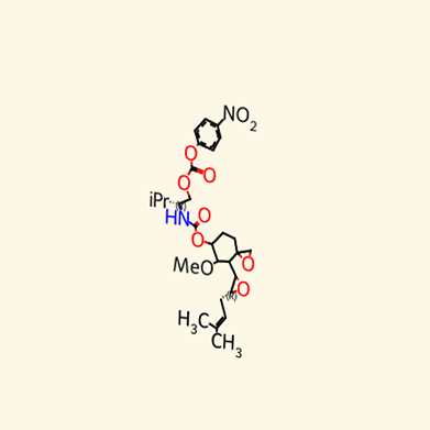 COC1C(OC(=O)N[C@@H](COC(=O)Oc2ccc([N+](=O)[O-])cc2)C(C)C)CCC2(CO2)C1C1O[C@@H]1CC=C(C)C